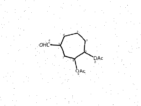 CC(=O)OC1CCCC([C]=O)CC1OC(C)=O